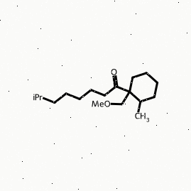 COCC1(C(=O)CCCCCC(C)C)CCCCC1C